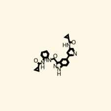 O=C(Nc1ccccc1NC(=O)C1CC1)c1n[nH]c2ccc(-c3cncc(NC(=O)C4CC4)c3)cc12